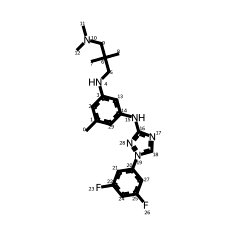 Cc1cc(NCC(C)(C)CN(C)C)cc(Nc2ncn(-c3cc(F)cc(F)c3)n2)c1